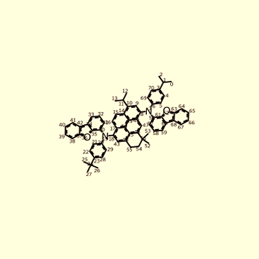 CC(C)c1ccc(N(c2cc(C(C)C)c3ccc4c(N(c5ccc(C(C)(C)C)cc5)c5cccc6c5oc5ccccc56)cc5c6c(cc2c3c46)C(C)(C)CC5)c2cccc3c2oc2ccccc23)cc1